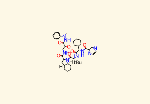 CN(NC(=O)C(=O)CNC(=O)[C@@H]1C[C@@H]2CCCC[C@@H]2N1C(=O)[C@@H](NC(=O)[C@@H](NC(=O)c1cnccn1)C1CCCCC1)C(C)(C)C)c1ccccc1